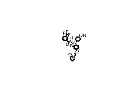 O=C(Nc1nc2cc(OCCN3CCCC3=O)ccc2n1C1CCC(O)CC1)c1cccc(C(F)(F)F)c1